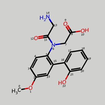 COc1ccc(N(CC(=O)O)C(=O)CN)c(-c2ccccc2O)c1